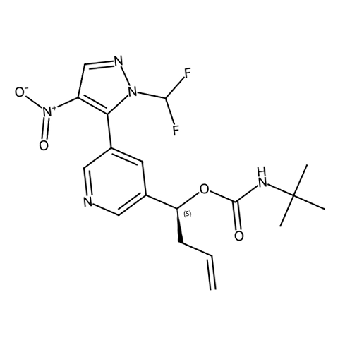 C=CC[C@H](OC(=O)NC(C)(C)C)c1cncc(-c2c([N+](=O)[O-])cnn2C(F)F)c1